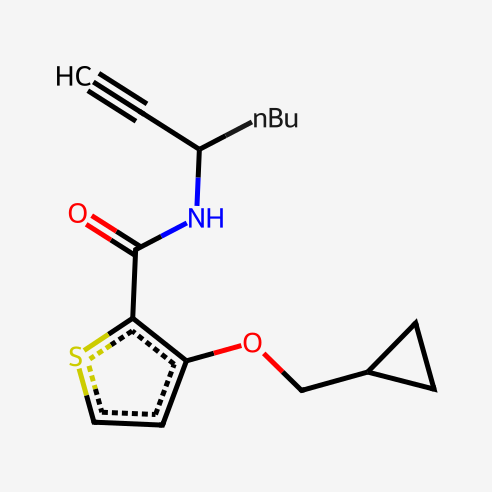 C#CC(CCCC)NC(=O)c1sccc1OCC1CC1